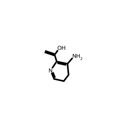 C=C(O)C1=C(N)CCC=N1